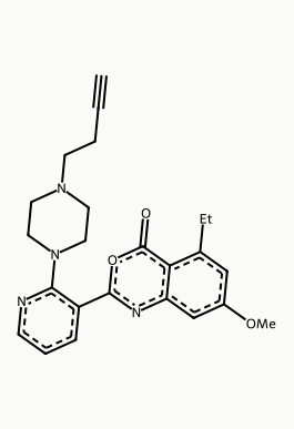 C#CCCN1CCN(c2ncccc2-c2nc3cc(OC)cc(CC)c3c(=O)o2)CC1